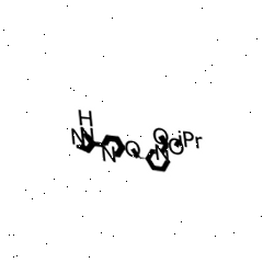 CC(C)OC(=O)N1CCC[C@H](COc2ccc(-c3ccn[nH]3)nc2)C1